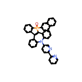 O=P1(c2ccc3ccccc3c2)C2=C(c3ccccc3N(c3ccc(-c4ccccn4)nc3)c3ccccc32)c2ccccc21